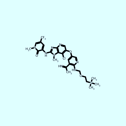 CC(=N)c1cc(Oc2cnc3nc(Nc4cc(C(F)(F)F)cn(C)c4=O)n(C)c3c2Cl)cnc1NCOCC[Si](C)(C)C